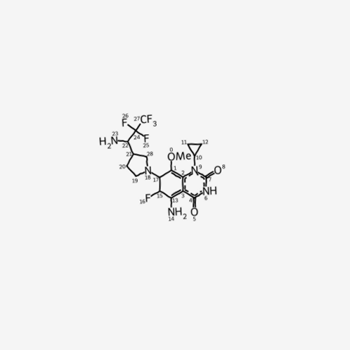 COC1=c2c(c(=O)[nH]c(=O)n2C2CC2)=C(N)C(F)C1N1CCC(C(N)C(F)(F)C(F)(F)F)C1